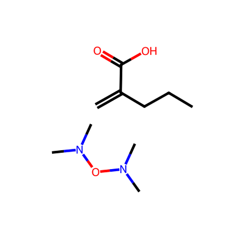 C=C(CCC)C(=O)O.CN(C)ON(C)C